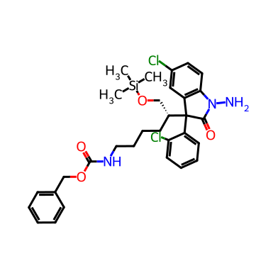 C[Si](C)(C)OC[C@@H](CCCCNC(=O)OCc1ccccc1)C1(c2ccccc2Cl)C(=O)N(N)c2ccc(Cl)cc21